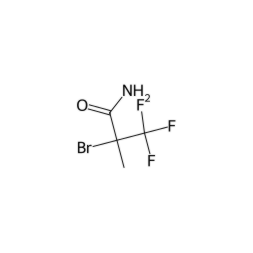 CC(Br)(C(N)=O)C(F)(F)F